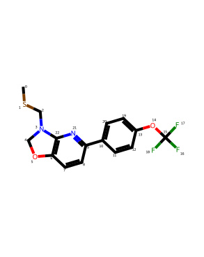 CSCN1COc2ccc(-c3ccc(OC(F)(F)F)cc3)nc21